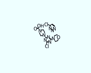 Clc1ccnnn1.O=C(O)N1CCN(c2nc(Cl)nc(N3CCOCC3)n2)CC1